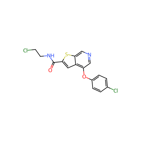 O=C(NCCCl)c1cc2c(Oc3ccc(Cl)cc3)cncc2s1